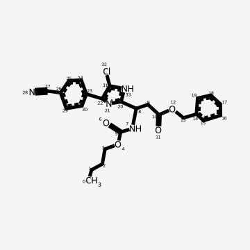 CCCCOC(=O)NC(CC(=O)OCc1ccccc1)c1nc(-c2ccc(C#N)cc2)c(Cl)[nH]1